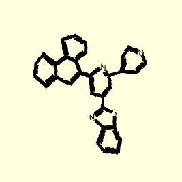 c1ccc2c(c1)cc(-c1cc(-c3nc4ccccc4s3)cc(-c3ccncc3)n1)c1ccccc12